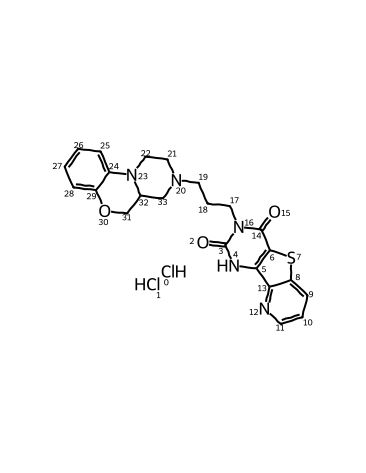 Cl.Cl.O=c1[nH]c2c(sc3cccnc32)c(=O)n1CCCN1CCN2c3ccccc3OCC2C1